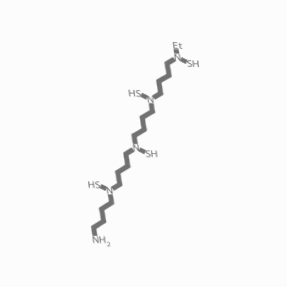 CCN(S)CCCCN(S)CCCCN(S)CCCCN(S)CCCCN